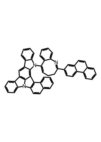 C1=C(/n2c3ccccc3c3cc4c5ccccc5n5c6ccc7ccccc7c6c(c32)c45)c2ccccc2/N=C(/c2ccc3c(ccc4ccccc43)c2)CC/1